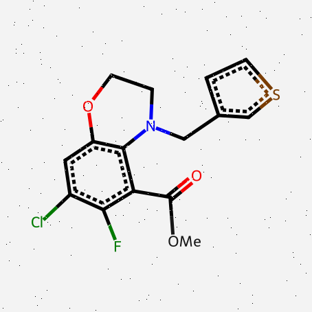 COC(=O)c1c(F)c(Cl)cc2c1N(Cc1ccsc1)CCO2